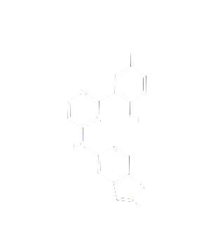 Cc1ccc(C)c(-c2nccc(Nc3ccc4[nH]ncc4c3)n2)c1